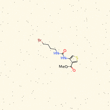 COC(=O)c1cscc1NC(=O)NCCCCBr